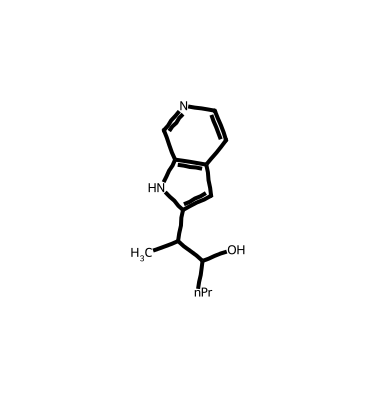 CCCC(O)C(C)c1cc2ccncc2[nH]1